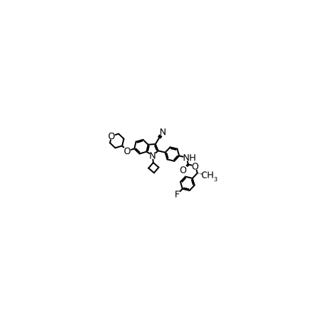 C[C@@H](OC(=O)Nc1ccc(-c2c(C#N)c3ccc(OC4CCOCC4)cc3n2C2CCC2)cc1)c1ccc(F)cc1